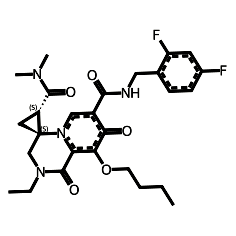 CCCCOc1c2n(cc(C(=O)NCc3ccc(F)cc3F)c1=O)[C@]1(C[C@@H]1C(=O)N(C)C)CN(CC)C2=O